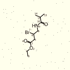 CCOC(=O)CC(Br)CNC(=O)C(C)C